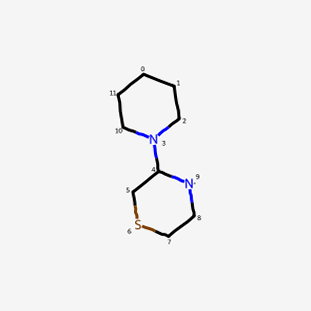 C1CCN(C2CSCC[N]2)CC1